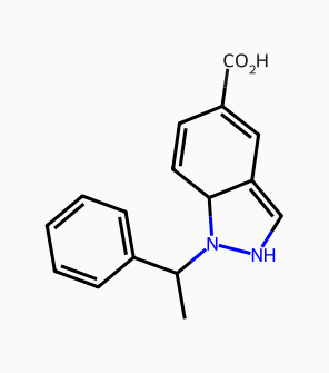 CC(c1ccccc1)N1NC=C2C=C(C(=O)O)C=CC21